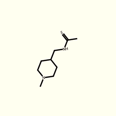 CC(=S)NCC1CCN(C)CC1